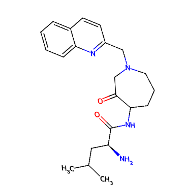 CC(C)C[C@H](N)C(=O)NC1CCCN(Cc2ccc3ccccc3n2)CC1=O